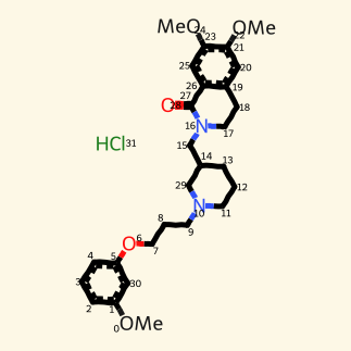 COc1cccc(OCCCN2CCCC(CN3CCc4cc(OC)c(OC)cc4C3=O)C2)c1.Cl